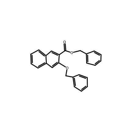 O=C(OCc1ccccc1)c1cc2ccccc2cc1OCc1ccccc1